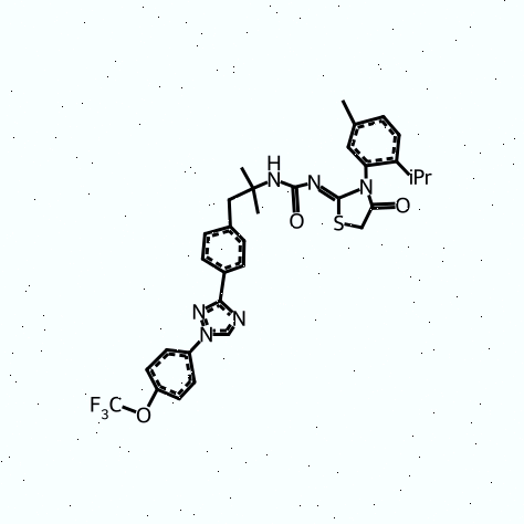 Cc1ccc(C(C)C)c(N2C(=O)CS/C2=N\C(=O)NC(C)(C)Cc2ccc(-c3ncn(-c4ccc(OC(F)(F)F)cc4)n3)cc2)c1